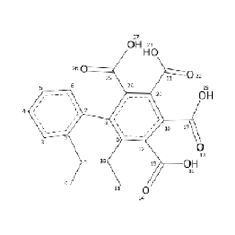 CCc1ccccc1-c1c(CC)c(C(=O)O)c(C(=O)O)c(C(=O)O)c1C(=O)O